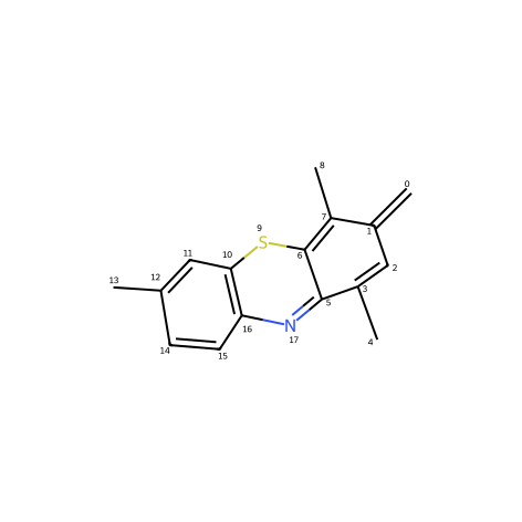 C=c1cc(C)c2c(c1C)Sc1cc(C)ccc1N=2